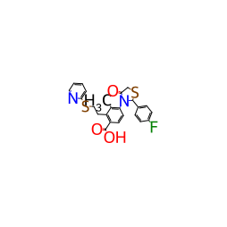 Cc1c(N2C(=O)CSC2c2ccc(F)cc2)ccc(C(=O)O)c1CCSc1ccccn1